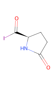 O=C1CC[C@H](C(=O)I)N1